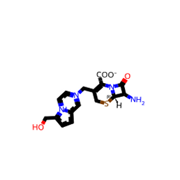 NC1C(=O)N2C(C(=O)[O-])=C(Cn3cc[n+]4c(CO)ccc-4c3)CS[C@H]12